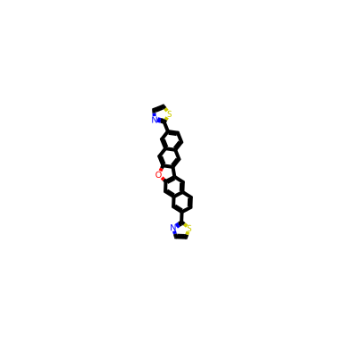 c1csc(-c2ccc3cc4c(cc3c2)oc2cc3cc(-c5nccs5)ccc3cc24)n1